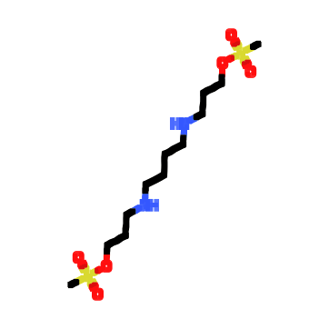 CS(=O)(=O)OCCCNCCCCNCCCOS(C)(=O)=O